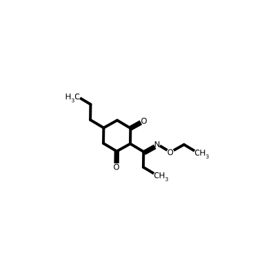 CCCC1CC(=O)C(C(CC)=NOCC)C(=O)C1